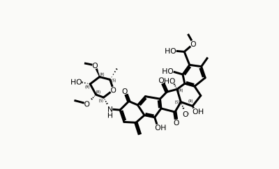 C=C1C=C(N[C@H]2O[C@@H](C)[C@H](OC)[C@@H](O)[C@H]2OC)C(=O)c2cc3c(c(O)c21)C(=O)[C@]1(OC)[C@H](O)Cc2cc(C)c(C(O)OC)c(O)c2[C@]1(O)C3=O